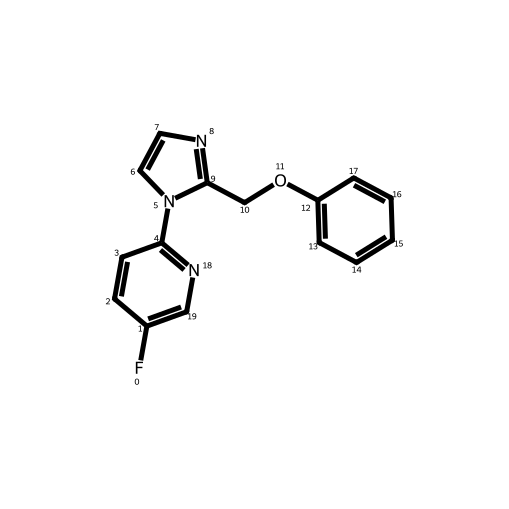 Fc1ccc(-n2ccnc2COc2ccccc2)nc1